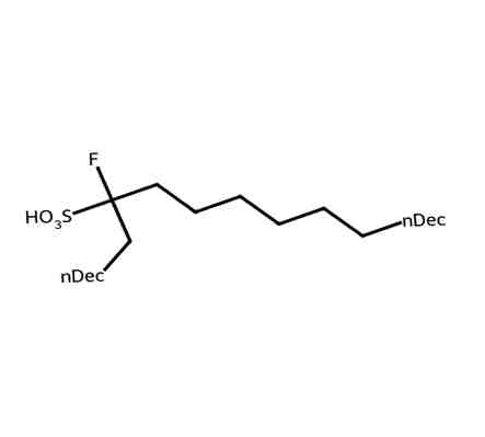 CCCCCCCCCCCCCCCCC(F)(CCCCCCCCCCC)S(=O)(=O)O